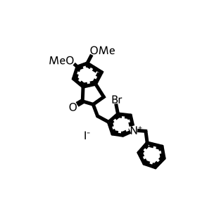 COc1cc2c(cc1OC)C(=O)C(Cc1cc[n+](Cc3ccccc3)cc1Br)C2.[I-]